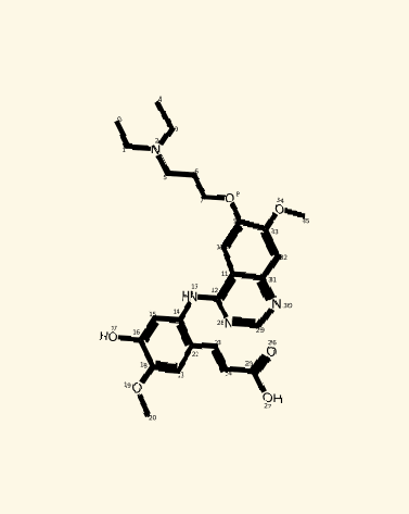 CCN(CC)CCCOc1cc2c(Nc3cc(O)c(OC)cc3/C=C/C(=O)O)ncnc2cc1OC